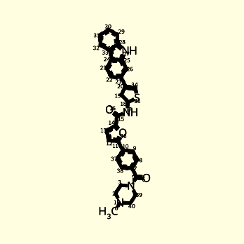 CN1CCN(C(=O)c2ccc(-c3ccc(C(=O)NC4CC(c5ccc6c(c5)[nH]c5ccccc56)=CS4)o3)cc2)CC1